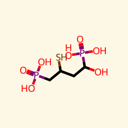 O=P(O)(O)CC(S)CC(O)P(=O)(O)O